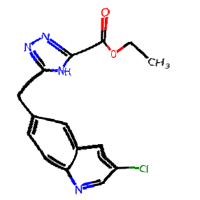 CCOC(=O)c1nnc(Cc2ccc3ncc(Cl)cc3c2)[nH]1